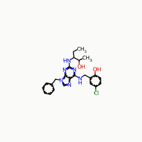 CCC(Nc1nc(NCc2cc(Cl)ccc2O)c2ncn(Cc3ccccc3)c2n1)C(C)O